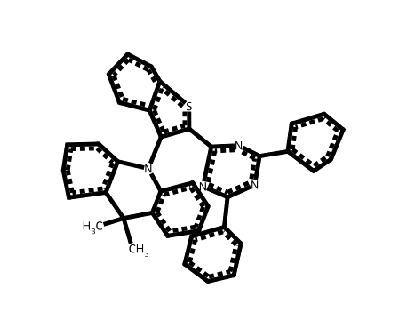 CC1(C)c2ccccc2N(c2c(-c3nc(-c4ccccc4)nc(-c4ccccc4)n3)sc3ccccc23)c2ccccc21